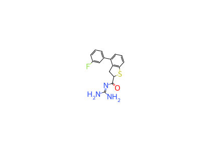 NC(N)=NC(=O)C1Cc2c(cccc2-c2cccc(F)c2)S1